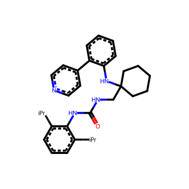 CC(C)c1cccc(C(C)C)c1NC(=O)NCC1(Nc2ccccc2-c2ccncc2)CCCCC1